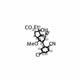 CCOC(=O)C1(O)CCc2c(OC)c(-c3cc(Cl)ccc3C#N)c[n+]([O-])c21